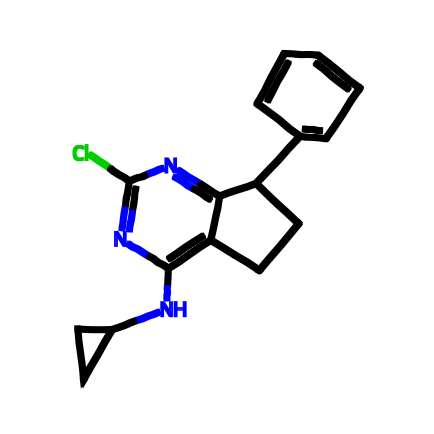 Clc1nc(NC2CC2)c2c(n1)C(c1ccccc1)CC2